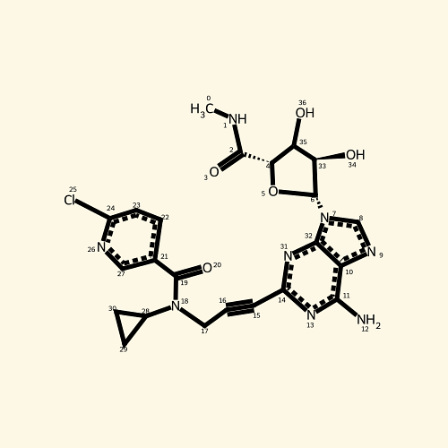 CNC(=O)[C@H]1O[C@@H](n2cnc3c(N)nc(C#CCN(C(=O)c4ccc(Cl)nc4)C4CC4)nc32)[C@H](O)C1O